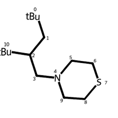 CC(C)(C)CC(CN1CCSCC1)C(C)(C)C